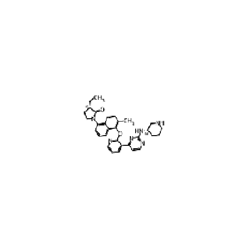 CC[C@@H]1CCN(c2cccc3c(Oc4ncccc4-c4ccnc(N[C@H]5CCCNC5)n4)c(C)ccc23)C1=O